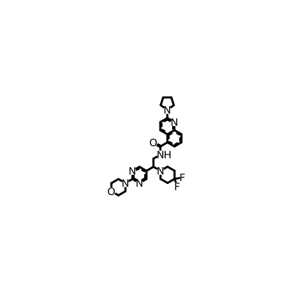 O=C(NCC(c1cnc(N2CCOCC2)nc1)N1CCC(F)(F)CC1)c1cccc2nc(N3CCCC3)ccc12